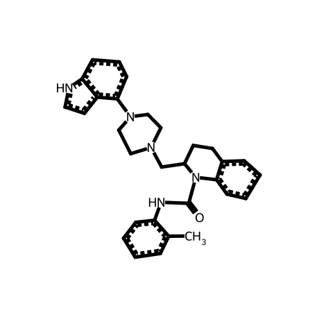 Cc1ccccc1NC(=O)N1c2ccccc2CCC1CN1CCN(c2cccc3[nH]ccc23)CC1